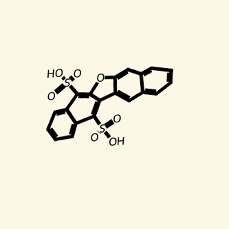 O=S(=O)(O)c1c2ccccc2c(S(=O)(=O)O)c2c1oc1cc3ccccc3cc12